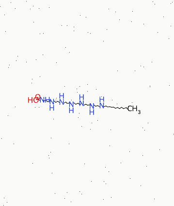 CCCCCCCCCCCCCCNCCCCNCCCCNCCCCNCCCCNCCCCNCCCCNCC(=O)O